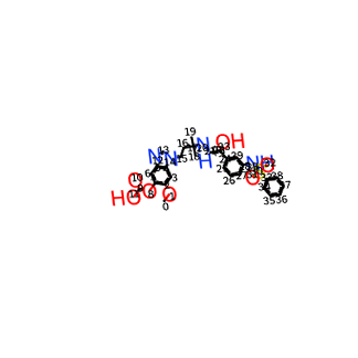 COc1cc2c(cc1OC(=O)O)ncn2CCC(C)(C)NC[C@H](O)c1cccc(NS(=O)(=O)c2ccccc2)c1